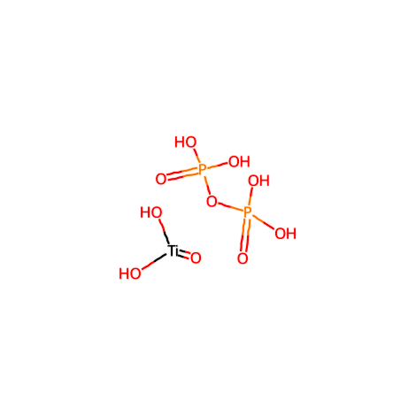 O=P(O)(O)OP(=O)(O)O.[O]=[Ti]([OH])[OH]